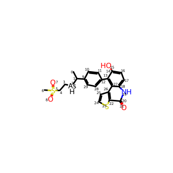 CC([AsH]CCS(C)(=O)=O)c1ccc(-c2c(O)ccc3[nH]c(=O)c4sccc4c23)cc1